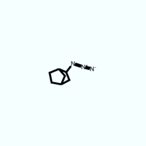 [N-]=[N+]=NC1CC2CCC1C2